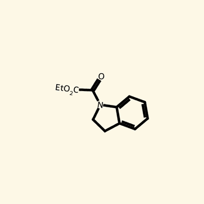 CCOC(=O)C(=O)N1CCc2ccccc21